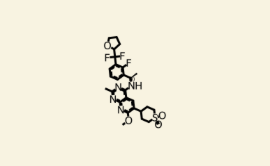 COc1nc2nc(C)nc(N[C@H](C)c3cccc(C(F)(F)C4CCCO4)c3F)c2cc1C1CCS(=O)(=O)CC1